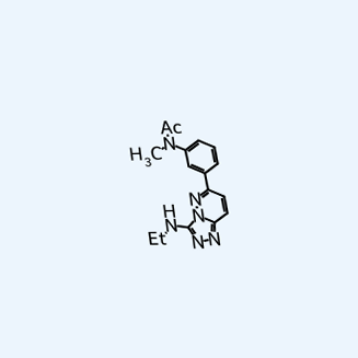 CCNc1nnc2ccc(-c3cccc(N(C)C(C)=O)c3)nn12